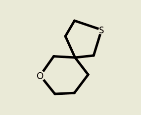 C1COCC2(C1)CCSC2